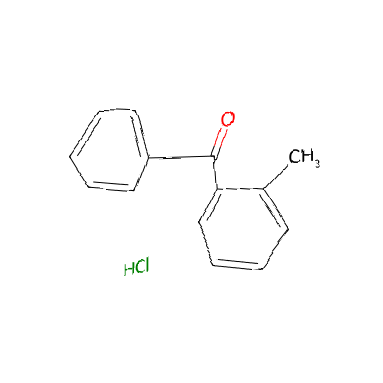 Cc1ccccc1C(=O)c1ccccc1.Cl